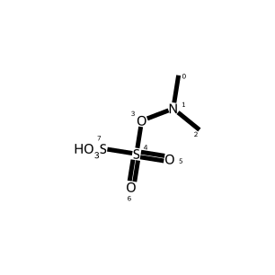 CN(C)OS(=O)(=O)S(=O)(=O)O